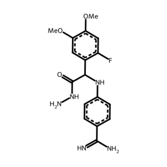 COc1cc(F)c(C(Nc2ccc(C(=N)N)cc2)C(=O)NN)cc1OC